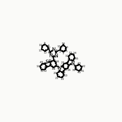 c1ccc(-c2nc(-c3ccccc3)nc(-c3cc(-n4c5ccccc5c5cc6c(cc54)c4ccccc4n6-c4ccccc4)cc4c3sc3ccccc34)n2)cc1